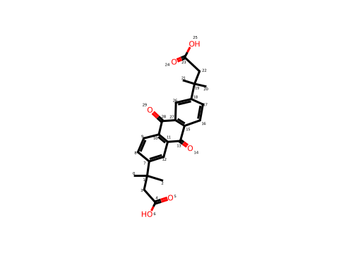 CC(C)(CC(=O)O)c1ccc2c(c1)C(=O)c1ccc(C(C)(C)CC(=O)O)cc1C2=O